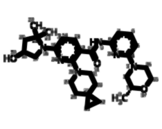 C[C@@H]1CN(c2cccc(NC(=O)c3ccc(N4CC(O)CC4(C)C)nc3N3CCC4(CC3)CC4)n2)CCO1